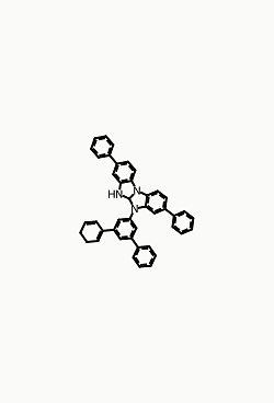 C1=CC(c2cc(-c3ccccc3)cc(N3c4cc(-c5ccccc5)ccc4N4c5ccc(-c6ccccc6)cc5NC34)c2)=CCC1